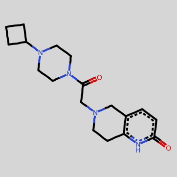 O=C(CN1CCc2[nH]c(=O)ccc2C1)N1CCN(C2CCC2)CC1